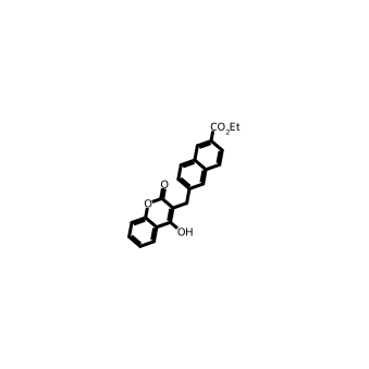 CCOC(=O)c1ccc2cc(Cc3c(O)c4ccccc4oc3=O)ccc2c1